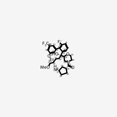 CCOc1cc(-c2c(F)cccc2[C@](O)(CCCCOC)C2CN(C(=O)[C@@H]3CC[C@H](N)C3)CCO2)cc(C(F)(F)F)c1